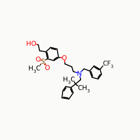 CC(C)(CN(CCCOc1ccc(CCO)c(S(C)(=O)=O)c1)Cc1cccc(C(F)(F)F)c1)c1ccccc1